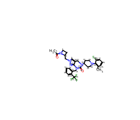 CC(=O)N1CCC1Cn1cc2c(n1)N(Cc1ccccc1C(F)(F)F)C(=O)N(C1CCN(c3c(C)cccc3F)CC1)C2